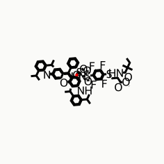 CCC(C)(C)C(=O)NC(CSc1c(F)c(F)c(S(=O)(=O)NS(=O)(=O)c2ccccc2-c2c3cc/c(=N\c4c(C(C)C)cccc4C(C)C)cc-3oc3cc(Nc4c(C(C)C)cccc4C(C)C)ccc23)c(F)c1F)C(=O)OC